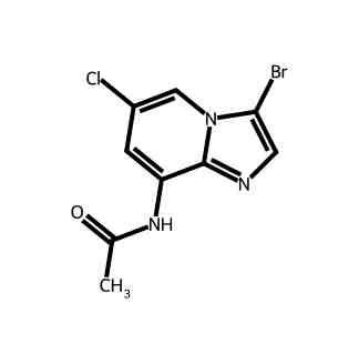 CC(=O)Nc1cc(Cl)cn2c(Br)cnc12